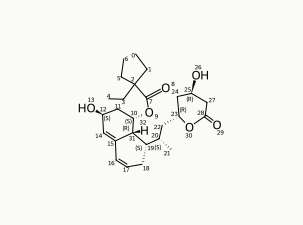 CCC(CC)(CC)C(=O)O[C@H]1C[C@H](O)C=C2C=CC[C@@H]([C@@H](C)C[C@@H]3C[C@@H](O)CC(=O)O3)[C@H]21